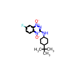 CC(C)(C)C1CCC(Nc2n[n+]([O-])c3cc(F)ccc3[n+]2[O-])CC1